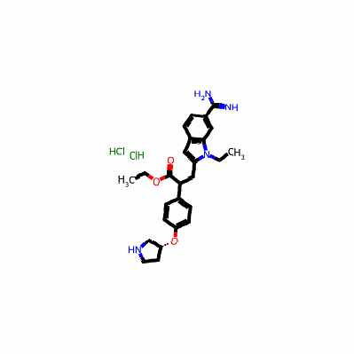 CCOC(=O)C(Cc1cc2ccc(C(=N)N)cc2n1CC)c1ccc(O[C@@H]2CCNC2)cc1.Cl.Cl